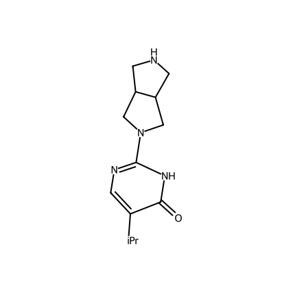 CC(C)c1cnc(N2CC3CNCC3C2)[nH]c1=O